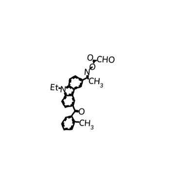 CCn1c2ccc(C(=O)c3ccccc3C)cc2c2cc(C(C)=NOC(=O)C=O)ccc21